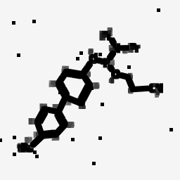 CC(C)N(C(C)C)P(OCCC#N)Oc1ccc(-c2ccc(C(C)(C)C)cc2)cc1